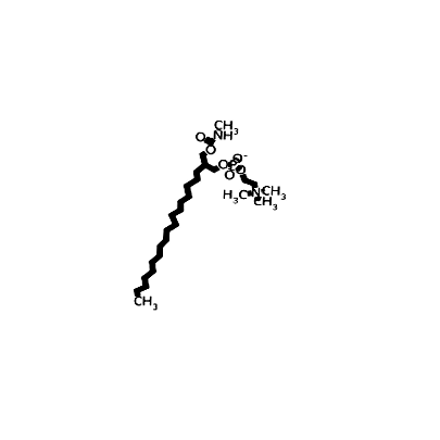 CCCCCCCCCCCCCCCCCCC(COC(=O)NC)COP(=O)([O-])OCC[N+](C)(C)C